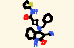 N#Cc1c(N(Cc2ccccc2)C2CC(C(=O)Nc3cccs3)C2)c2ccccc2[nH]c1=O